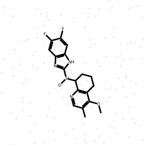 COc1c(C)cnc2c1CCCC2[S+]([O-])c1nc2cc(F)c(F)cc2[nH]1